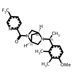 COc1ccc([C@H](C)N2C[C@@H]3C[C@H]2CN3C(=O)c2ccc(C(F)(F)F)cn2)c(C)c1C